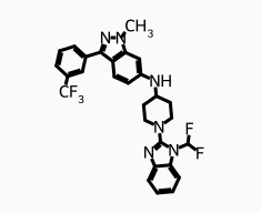 Cn1nc(-c2cccc(C(F)(F)F)c2)c2ccc(NC3CCN(c4nc5ccccc5n4C(F)F)CC3)cc21